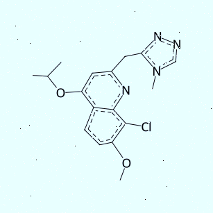 COc1ccc2c(OC(C)C)cc(Cc3nncn3C)nc2c1Cl